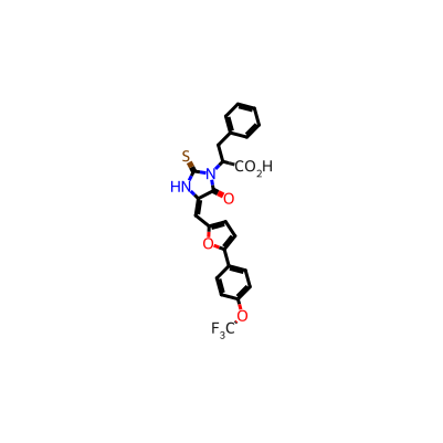 O=C(O)C(Cc1ccccc1)N1C(=O)/C(=C\c2ccc(-c3ccc(OC(F)(F)F)cc3)o2)NC1=S